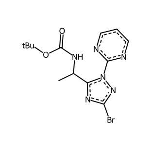 CC(NC(=O)OC(C)(C)C)c1nc(Br)nn1-c1ncccn1